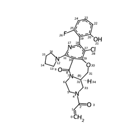 C=CC(=O)N1CCN2C(=O)c3c(N4CCCC4)nc(-c4c(O)cccc4F)c(Cl)c3OC[C@H]2C1